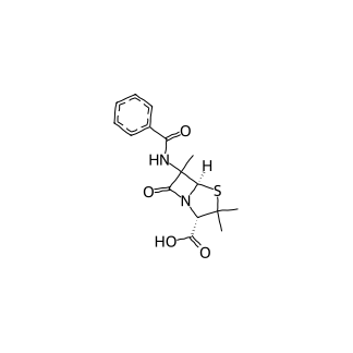 CC1(C)S[C@H]2N(C(=O)C2(C)NC(=O)c2ccccc2)[C@H]1C(=O)O